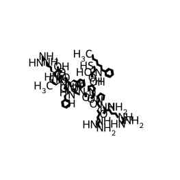 CC(C)C[C@H](NC(=O)[C@@H](Cc1ccccc1)NC(=O)[C@H](Cc1ccccc1)NC(=O)CNC(=O)[C@@H]1C[C@H](O)CN1C(=O)[C@@H]1CCCN1C(=O)[C@H](CCCNC(=N)N)NC(=O)[C@H](N)CCCNC(=N)N)C(=O)N[C@@H](CCCNC(=N)N)C(=O)O.CCCCCCC(NC(CS)C(=O)O)c1ccccc1